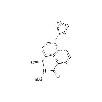 CCCCN1C(=O)c2cccc3c(-c4c[nH]nn4)ccc(c23)C1=O